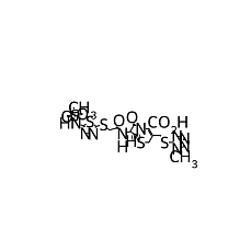 Cn1nnnc1SCC1=C(C(=O)O)N2C(=O)C(NC(=O)CSc3nnc(NS(C)(=O)=O)s3)[C@H]2SC1